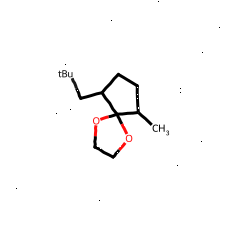 CC1CCC(CC(C)(C)C)C12OCCO2